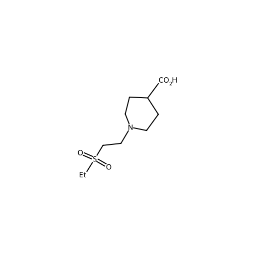 CCS(=O)(=O)CCN1CCC(C(=O)O)CC1